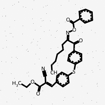 CCCCCCC(=NOC(=O)c1ccccc1)C(=O)c1ccc(Sc2ccc(C=C(C#N)C(=O)OCC)cc2)cc1